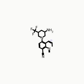 C=Nc1c(C#N)ccc(N2CC(N)CC(C(F)(F)F)C2)c1/C=C\C